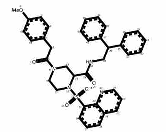 COc1ccc(CC(=O)N2CCN(S(=O)(=O)c3cccc4cccnc34)C(C(=O)NCC(c3ccccc3)c3ccccc3)C2)cc1